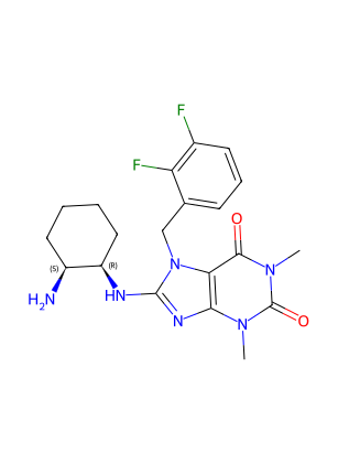 Cn1c(=O)c2c(nc(N[C@@H]3CCCC[C@@H]3N)n2Cc2cccc(F)c2F)n(C)c1=O